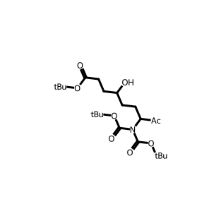 CC(=O)C(CCC(O)CCC(=O)OC(C)(C)C)N(C(=O)OC(C)(C)C)C(=O)OC(C)(C)C